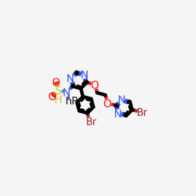 CCCN(c1ncnc(OCCOc2ncc(Br)cn2)c1-c1ccc(Br)cc1)[SH](=O)=O